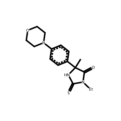 CCN1C(=O)C(C)(c2ccc(N3CCOCC3)cc2)NC1=S